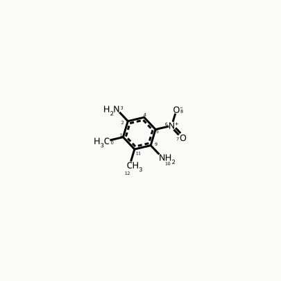 Cc1c(N)cc([N+](=O)[O-])c(N)c1C